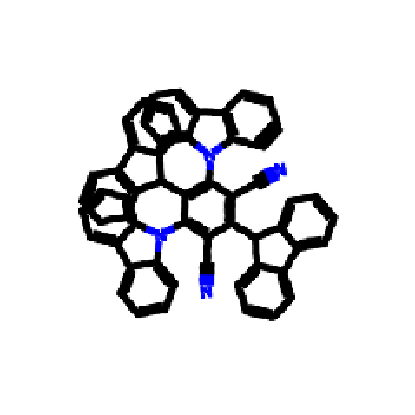 N#Cc1c(C2c3ccccc3-c3ccccc32)c(C#N)c(-n2c3ccccc3c3ccccc32)c(C2C3=C(C=CCC3)c3ccccc32)c1-n1c2c#cccc2c2ccccc21